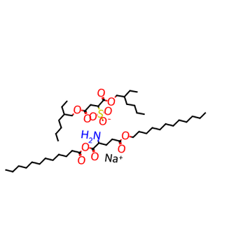 CCCCC(CC)COC(=O)CC(C(=O)OCC(CC)CCCC)S(=O)(=O)[O-].CCCCCCCCCCCCOC(=O)CCC(N)C(=O)OC(=O)CCCCCCCCCCC.[Na+]